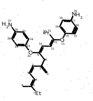 C=C(/C=C\C=C(/C)CC)C/C(=C\C=C(\Oc1c#cc(N)cc1)C(C)C)Oc1ccc(N)cc1